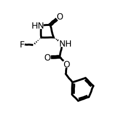 O=C(N[C@H]1C(=O)N[C@H]1CF)OCc1ccccc1